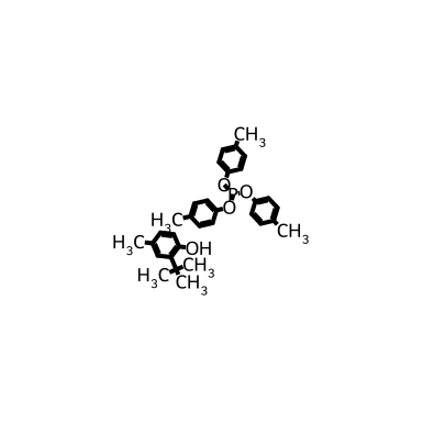 Cc1ccc(O)c(C(C)(C)C)c1.Cc1ccc(OP(Oc2ccc(C)cc2)Oc2ccc(C)cc2)cc1